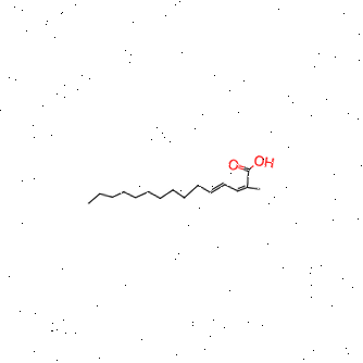 CCCCCCCCCCC=CC=C(C)C(=O)O